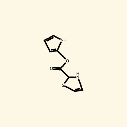 O=C(Oc1ccc[nH]1)C1NC=CS1